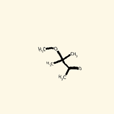 COC(C)(C)C(C)=O